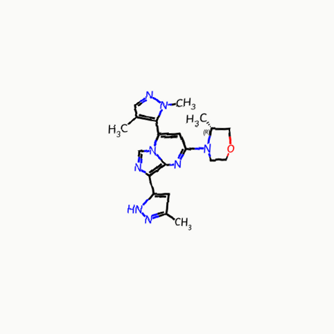 Cc1cc(-c2ncn3c(-c4c(C)cnn4C)cc(N4CCOC[C@H]4C)nc23)[nH]n1